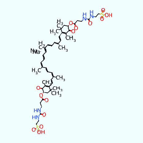 CC(C=CC=C(C)C=CC1=C(C)C(=O)C(OC(=O)CCNC(=O)NCCS(=O)(=O)O)CC1(C)C)=CC=CC=C(C)C=CC=C(C)C=CC1=C(C)C(=O)C(OC(=O)CCNC(=O)NCCS(=O)(=O)O)CC1(C)C.[Na].[Na]